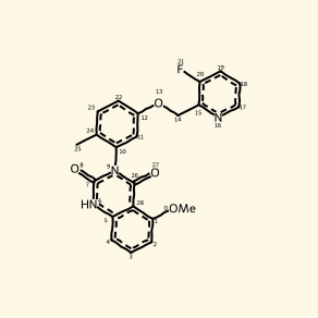 COc1cccc2[nH]c(=O)n(-c3cc(OCc4ncccc4F)ccc3C)c(=O)c12